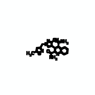 Cc1cc(Cn2cc(-c3c(C(N)=O)nc4ccccc4c3C(N)=O)c(C)n2)no1